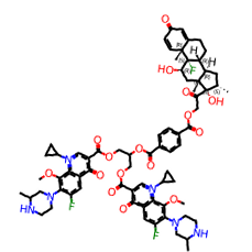 COc1c(N2CCNC(C)C2)c(F)cc2c(=O)c(C(=O)OCC(COC(=O)c3cn(C4CC4)c4c(OC)c(N5CCNC(C)C5)c(F)cc4c3=O)OC(=O)c3ccc(C(=O)OCC(=O)[C@]4(O)[C@@H](C)C[C@@H]5[C@H]6CCC7=CC(=O)C=C[C@@]7(C)[C@]6(F)[C@H](O)C[C@]54C)cc3)cn(C3CC3)c12